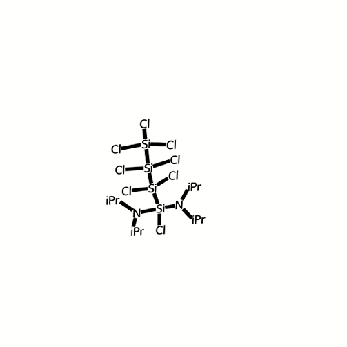 CC(C)N(C(C)C)[Si](Cl)(N(C(C)C)C(C)C)[Si](Cl)(Cl)[Si](Cl)(Cl)[Si](Cl)(Cl)Cl